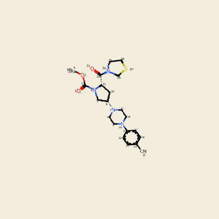 CC(C)(C)OC(=O)N1C[C@@H](N2CCN(c3ccc(C#N)cc3)CC2)C[C@H]1C(=O)N1CCSC1